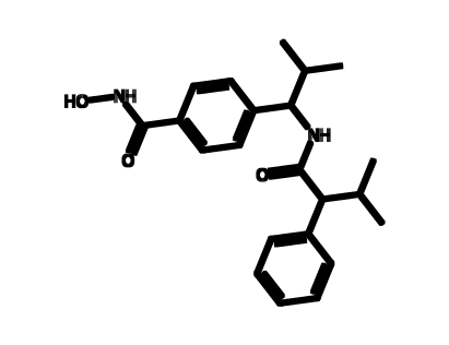 CC(C)C(NC(=O)C(c1ccccc1)C(C)C)c1ccc(C(=O)NO)cc1